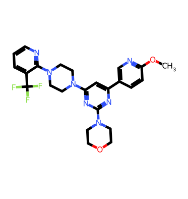 COc1ccc(-c2cc(N3CCN(c4ncccc4C(F)(F)F)CC3)nc(N3CCOCC3)n2)cn1